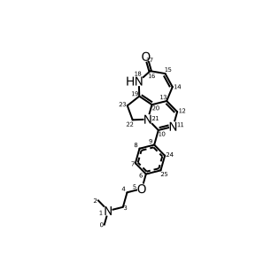 CN(C)CCOc1ccc(C2=NC=C3C=CC(=O)NC4=C3N2CC4)cc1